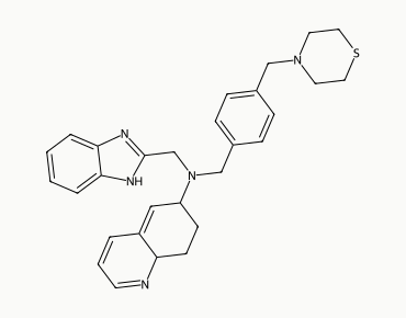 C1=CC2=CC(N(Cc3ccc(CN4CCSCC4)cc3)Cc3nc4ccccc4[nH]3)CCC2N=C1